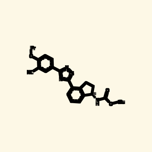 CC(C)Oc1ccc(-c2nsc(-c3cccc4c3CC[C@@H]4NC(=O)OC(C)(C)C)n2)cc1C#N